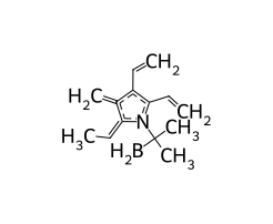 BC(C)(C)n1c(C=C)c(C=C)c(=C)/c1=C\C